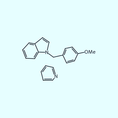 COc1ccc(Cn2ccc3ccccc32)cc1.c1ccncc1